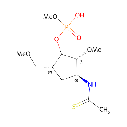 COC[C@H]1C[C@H](NC(C)=S)[C@@H](OC)C1OP(=O)(O)OC